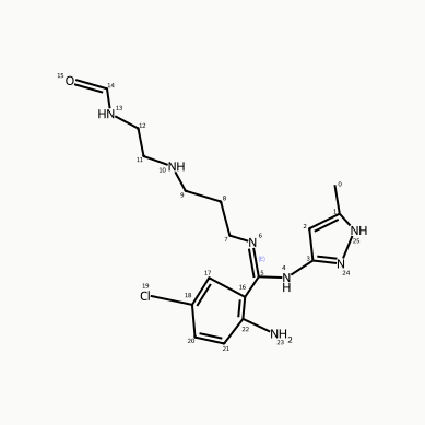 Cc1cc(N/C(=N/CCCNCCNC=O)c2cc(Cl)ccc2N)n[nH]1